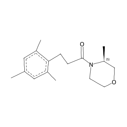 Cc1cc(C)c(CCC(=O)N2CCOC[C@@H]2C)c(C)c1